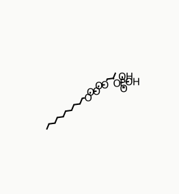 CCCCCCCCCCOOOOOCC(C)OP(=O)(O)O